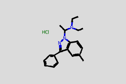 CCN(CC)C(C)n1nc(-c2ccccc2)c2cc(C)ccc21.Cl